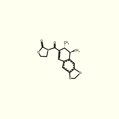 C[C@H]1C(C(=O)N2CCOC2=O)=Cc2cc3c(cc2[C@@H]1C)OCO3